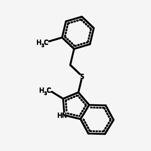 Cc1ccccc1CSc1c(C)[nH]c2ccccc12